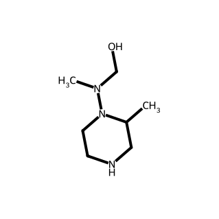 CC1CNCCN1N(C)CO